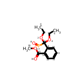 CCOC(OCC)(P=O)c1ccccc1C(=O)OC